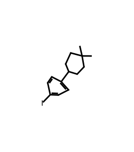 CC1(C)CCC(c2ccc(I)cc2)CC1